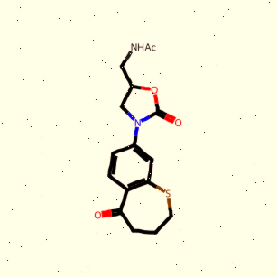 CC(=O)NCC1CN(c2ccc3c(c2)SCCCC3=O)C(=O)O1